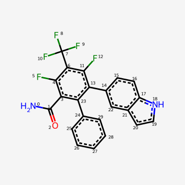 NC(=O)c1c(F)c(C(F)(F)F)c(F)c(-c2ccc3[nH]ccc3c2)c1-c1ccccc1